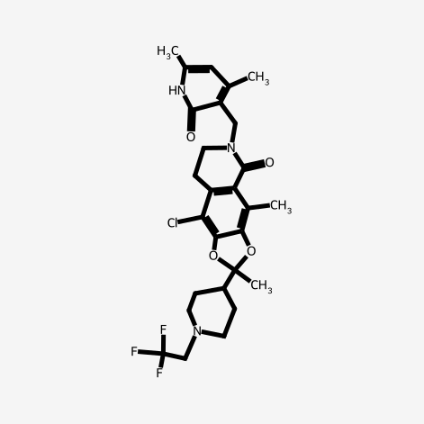 Cc1cc(C)c(CN2CCc3c(Cl)c4c(c(C)c3C2=O)OC(C)(C2CCN(CC(F)(F)F)CC2)O4)c(=O)[nH]1